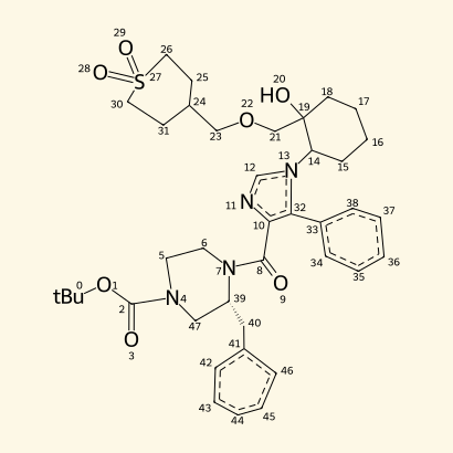 CC(C)(C)OC(=O)N1CCN(C(=O)c2ncn(C3CCCCC3(O)COCC3CCS(=O)(=O)CC3)c2-c2ccccc2)[C@H](Cc2ccccc2)C1